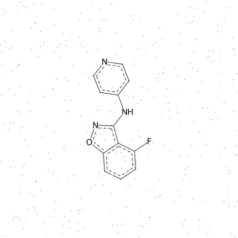 Fc1cccc2onc(Nc3ccncc3)c12